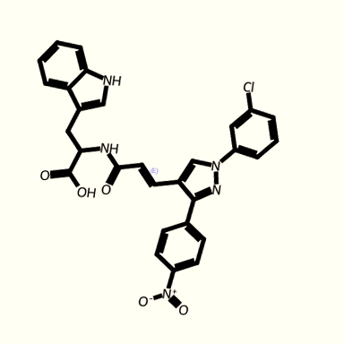 O=C(/C=C/c1cn(-c2cccc(Cl)c2)nc1-c1ccc([N+](=O)[O-])cc1)NC(Cc1c[nH]c2ccccc12)C(=O)O